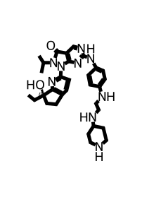 CC[C@@]1(O)CCc2ccc(-n3c4nc(Nc5ccc(NCCNC6CCNCC6)cc5)ncc4c(=O)n3C(C)C)nc21